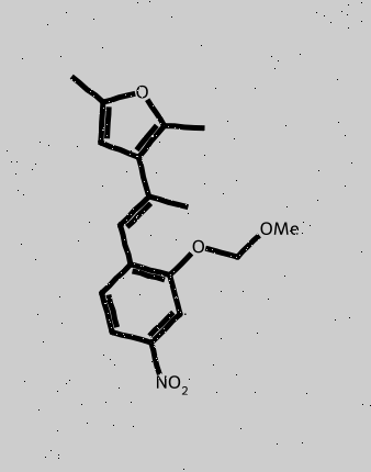 COCOc1[c]c([N+](=O)[O-])ccc1/C=C(\C)c1cc(C)oc1C